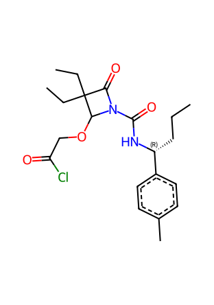 CCC[C@@H](NC(=O)N1C(=O)C(CC)(CC)C1OCC(=O)Cl)c1ccc(C)cc1